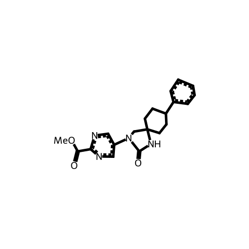 COC(=O)c1ncc(N2CC3(CCC(c4ccccc4)CC3)NC2=O)cn1